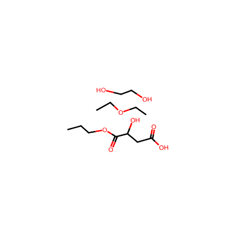 CCCOC(=O)C(O)CC(=O)O.CCOCC.OCCO